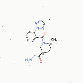 C[C@@H]1CC[C@@H](C(=O)CN)CN1C(=O)c1ccccc1-n1nccn1